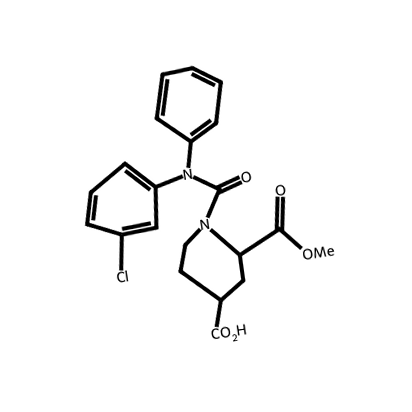 COC(=O)C1CC(C(=O)O)CCN1C(=O)N(c1ccccc1)c1cccc(Cl)c1